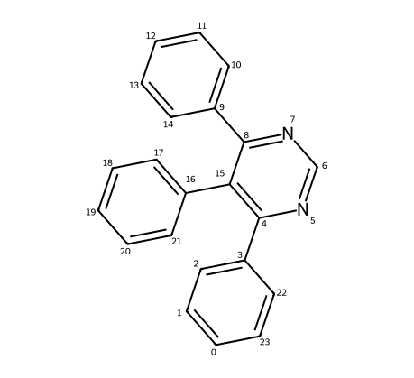 c1ccc(-c2ncnc(-c3ccccc3)c2-c2ccccc2)cc1